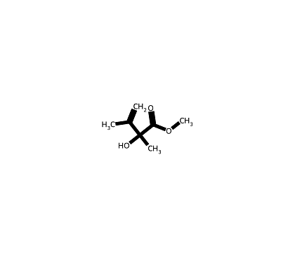 C=C(C)C(C)(O)C(=O)OC